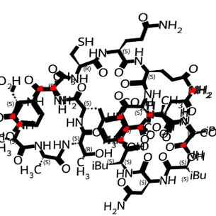 CC[C@H](C)[C@H](NC(=O)[C@H](CC(N)=O)NC(=O)[C@@H](NC(=O)[C@@H](NC(=O)[C@H](C)NC(=O)[C@H](C)NC(=O)[C@H](CC(=O)O)NC(=O)[C@H](CCC(N)=O)NC(=O)[C@H](CCC(N)=O)NC(=O)[C@H](CS)NC(=O)[C@H](Cc1ccc(O)cc1)NC(=O)[C@H](Cc1ccc(O)cc1)NC(=O)[C@@H](NC(=O)[C@H](C)NC(=O)[C@H](C)NC(=O)[C@H](CC(=O)O)NC(=O)[C@H](C)N)[C@@H](C)O)C(C)C)[C@@H](C)CC)C(=O)N[C@@H](CC(=O)O)C(=O)N[C@@H](CC(N)=O)C(=O)N[C@@H](CO)C(=O)O